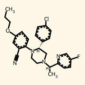 CCCOc1ccc(N2CCN([C@H](C)c3ccc(F)cn3)C[C@H]2c2ccc(Cl)cc2)c(C#N)c1